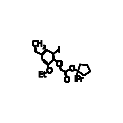 C=Cc1cc(I)c(OCC(=O)OC2(C(C)C)CCCC2)c(OCC)c1